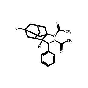 O=C(N[C@@H](c1ccccc1)[C@@H]1C2CC3C[C@@](Cl)(C2)C[C@]1(OC(=O)C(F)(F)F)C3)C(F)(F)F